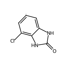 O=c1[nH]c2c[c]cc(Cl)c2[nH]1